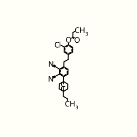 CCCC12CCC(c3ccc(CCc4ccc(OC(=O)CC)c(Cl)c4)c(C#N)c3C#N)(CC1)CC2